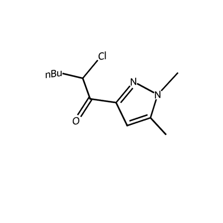 CCCCC(Cl)C(=O)c1cc(C)n(C)n1